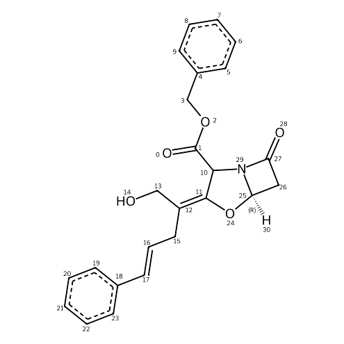 O=C(OCc1ccccc1)C1C(=C(CO)CC=Cc2ccccc2)O[C@@H]2CC(=O)N12